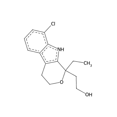 CCC1(CCO)OCCc2c1[nH]c1c(Cl)cccc21